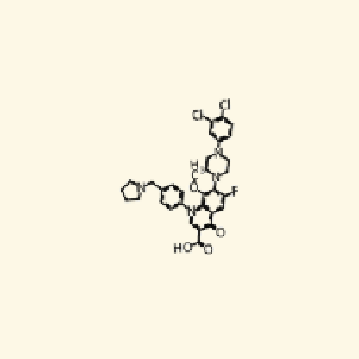 COc1c(N2CCN(c3ccc(Cl)c(Cl)c3)CC2)c(F)cc2c(=O)c(C(=O)O)cn(-c3ccc(CN4CCCC4)cc3)c12